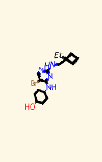 CCC1(CNc2ncc(Br)c(N[C@H]3CC[C@H](O)CC3)n2)CCC1